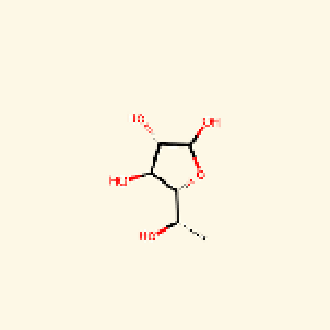 C[C@H](O)[C@H]1OC(O)[C@@H](O)[C@@H]1O